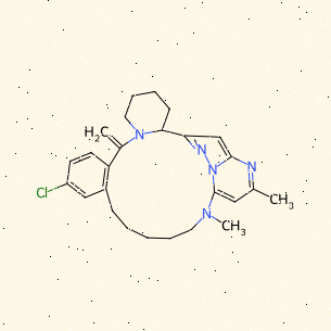 C=C1c2ccc(Cl)cc2CCCCCN(C)c2cc(C)nc3cc(nn23)C2CCCCN12